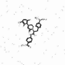 COC(=O)c1ccc(NC(=O)C(Cc2ccc(N(C)C=O)cc2)N2CCC(c3c(F)ccc(Cl)c3F)=CC2=O)cc1